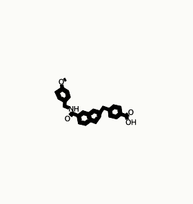 COc1ccc(CNC(=O)c2ccc3ccc(Cc4ccc(C(=O)O)cc4)cc3c2)cc1